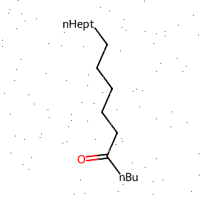 CCCCCCCCCCCCC(=O)CCCC